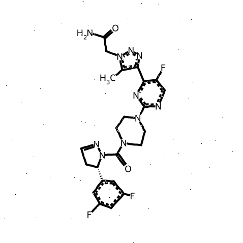 Cc1c(-c2nc(N3CCN(C(=O)N4N=CC[C@H]4c4cc(F)cc(F)c4)CC3)ncc2F)nnn1CC(N)=O